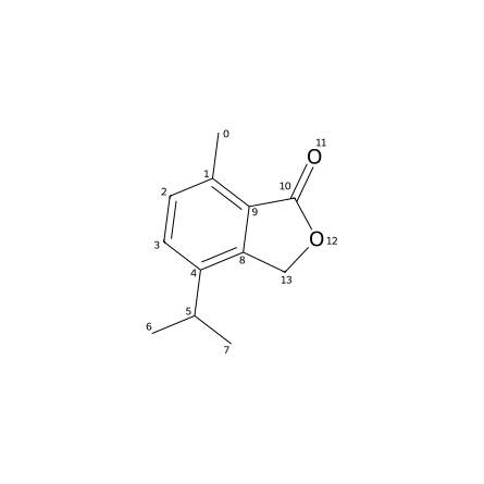 Cc1ccc(C(C)C)c2c1C(=O)OC2